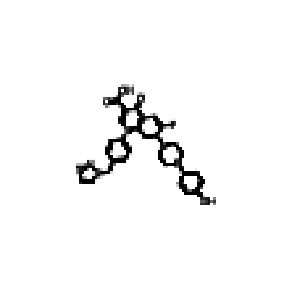 O=C(O)c1cn(-c2ccc(Cn3ccnn3)cc2)c2cc(N3CCN(c4ccc(O)cc4)CC3)c(F)cc2c1=O